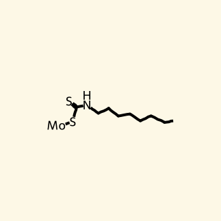 CCCCCCCCNC(=S)[S][Mo]